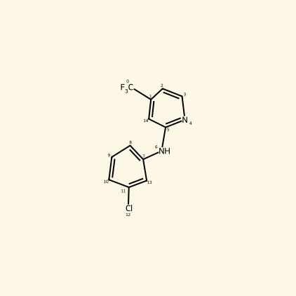 FC(F)(F)c1ccnc(Nc2cccc(Cl)c2)c1